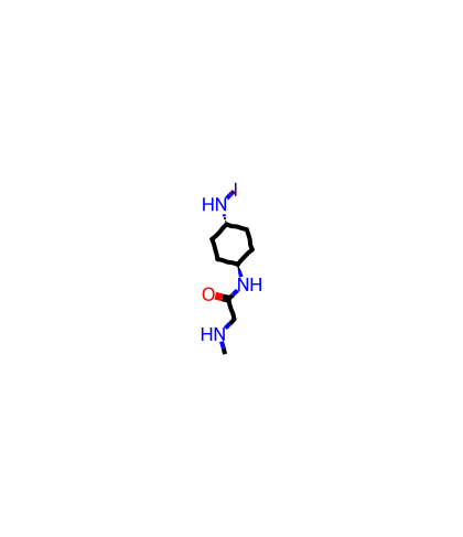 CNCC(=O)N[C@H]1CC[C@H](NI)CC1